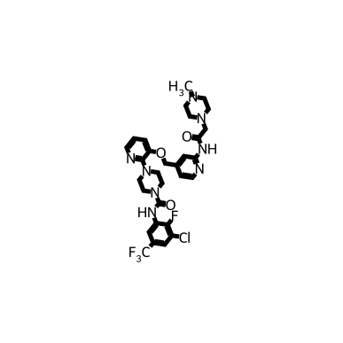 CN1CCN(CC(=O)Nc2cc(COc3cccnc3N3CCN(C(=O)Nc4cc(C(F)(F)F)cc(Cl)c4F)CC3)ccn2)CC1